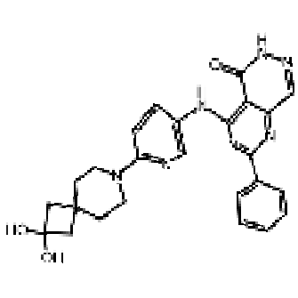 O=c1[nH]ncc2nc(-c3ccccc3)nc(Nc3ccc(N4CCC5(CC4)CC(O)(O)C5)nc3)c12